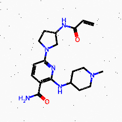 C=CC(=O)NC1CCN(c2ccc(C(N)=O)c(NC3CCN(C)CC3)n2)C1